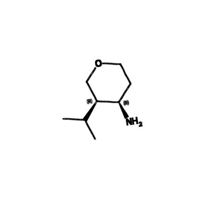 CC(C)[C@H]1COCC[C@H]1N